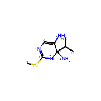 CSC1=NC=C(N)C(N)(C(C)C)N1